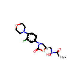 CCCCCCC(=O)N(O)C[C@H]1CN(c2ccc(N3CCOCC3)c(F)c2)C(=O)O1